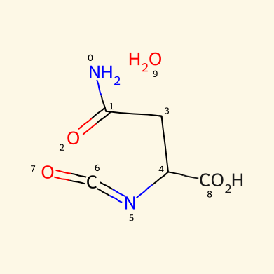 NC(=O)CC(N=C=O)C(=O)O.O